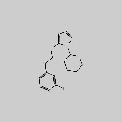 Fc1cccc(CCOc2[c]cnn2C2CCCCO2)c1